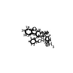 Cc1ccccc1-c1nc(NS(=O)(=O)c2cnn(C)c2)cc2oc3ccccc3c12